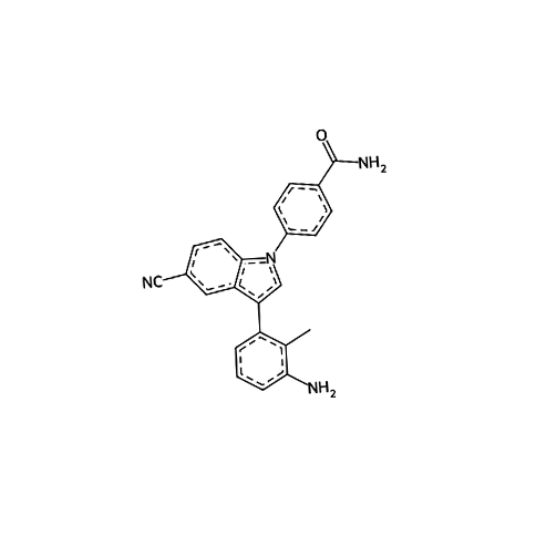 Cc1c(N)cccc1-c1cn(-c2ccc(C(N)=O)cc2)c2ccc(C#N)cc12